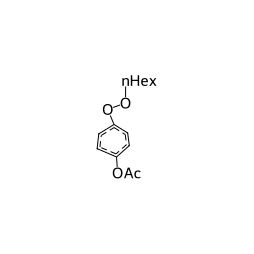 CCCCCCOOc1ccc(OC(C)=O)cc1